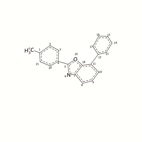 Cc1ccc(-c2nc3cccc(-c4ccccc4)c3o2)cc1